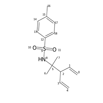 C=CC(C=C)C(C)(C)NS(=O)(=O)c1ccc(C)cc1